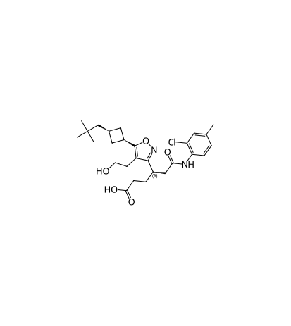 Cc1ccc(NC(=O)C[C@@H](CCC(=O)O)c2noc([C@H]3C[C@@H](CC(C)(C)C)C3)c2CCO)c(Cl)c1